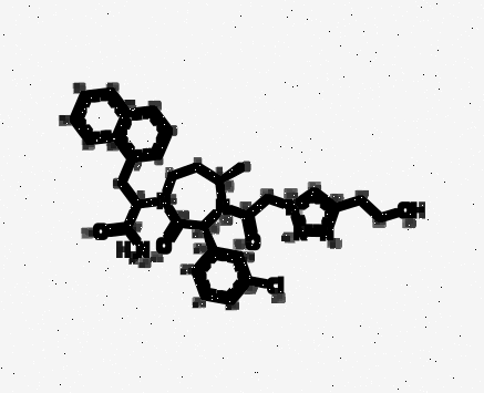 C[C@@H]1CCN(C(Cc2cccc3ccccc23)C(N)=O)C(=O)[C@H](c2cccc(Cl)c2)N1C(=O)Cn1cc(CCO)nn1